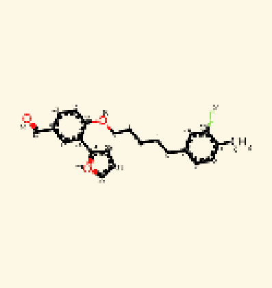 Cc1ccc(CCCCCOc2ccc(C=O)cc2-c2ccco2)cc1F